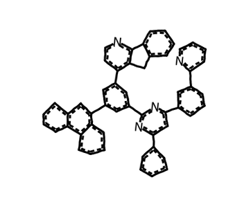 c1ccc(-c2cc(-c3cccc(-c4ccccn4)c3)nc(-c3cc(-c4ccnc5c4Cc4ccccc4-5)cc(-c4cc5ccccc5c5ccccc45)c3)n2)cc1